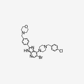 Clc1ccc(CN2CCN(c3c(Br)cnc4[nH]c(-c5ccc(CN6CCOCC6)cc5)nc34)CC2)cc1